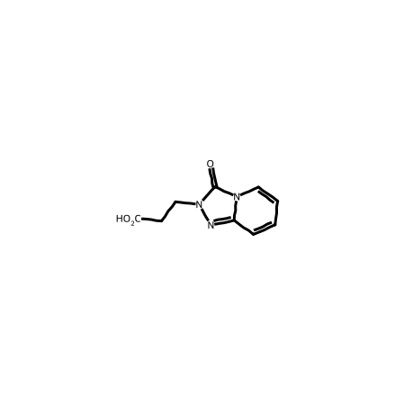 O=C(O)CCn1nc2ccccn2c1=O